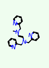 CN(C=CN(Cc1ccccn1)Cc1ccccn1)Cc1ccccn1